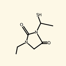 CCN1CC(=O)N(C(C)S)C1=O